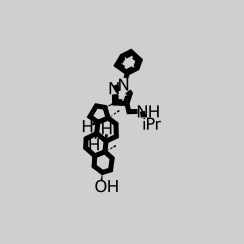 CC(C)NCc1cn(-c2ccccc2)nc1[C@H]1CC[C@H]2[C@@H]3CCC4C[C@@H](O)CC[C@]4(C)[C@H]3CC[C@]12C